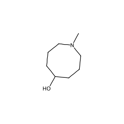 CN1CCCC(O)CCC1